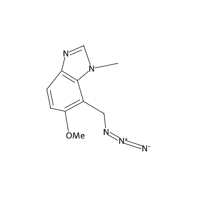 COc1ccc2ncn(C)c2c1CN=[N+]=[N-]